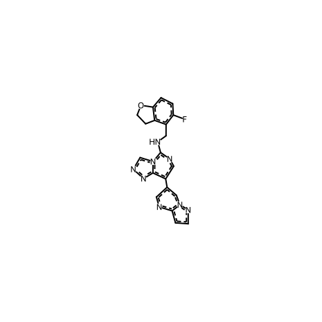 Fc1ccc2c(c1CNc1ncc(-c3cnc4ccnn4c3)c3nncn13)CCO2